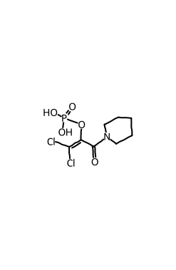 O=C(C(OP(=O)(O)O)=C(Cl)Cl)N1CCCCC1